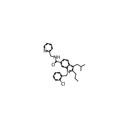 CCCc1c(CC(C)C)c2ccc(C(=O)NCc3ccccn3)cc2n1Cc1ccccc1Cl